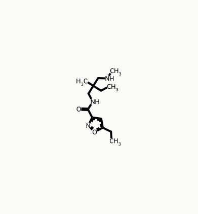 CCc1cc(C(=O)NCC(C)(CC)CNC)no1